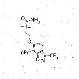 CCCc1c(OCCC(C)(C)C(N)=O)ccc2c(C(F)(F)F)noc12